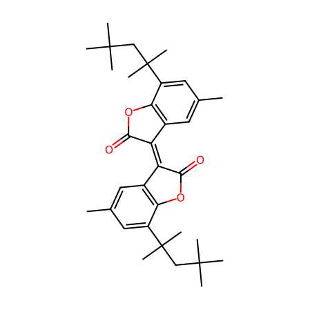 Cc1cc2c(c(C(C)(C)CC(C)(C)C)c1)OC(=O)C2=C1C(=O)Oc2c1cc(C)cc2C(C)(C)CC(C)(C)C